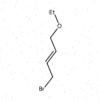 C[CH]OCC=CCBr